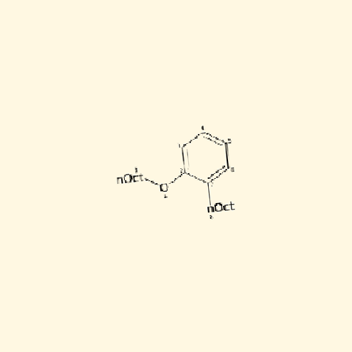 CCCCCCCCOc1c[c]ccc1CCCCCCCC